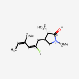 C/C=C(\C=C(\F)C[C@@H]1CN(OC)C(=O)[C@H]1C(=O)O)OC